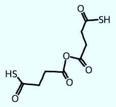 O=C(S)CCC(=O)OC(=O)CCC(=O)S